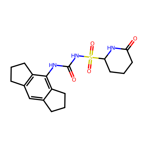 O=C1CCCC(S(=O)(=O)NC(=O)Nc2c3c(cc4c2CCC4)CCC3)N1